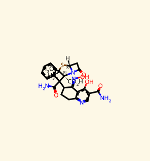 CC1(C)S[C@@H]2CC(=O)N2[C@@]1(C(=O)O)C(C(N)=O)(c1ccccc1)C1CCc2ncc(C(N)=O)c(O)c2C1=NO